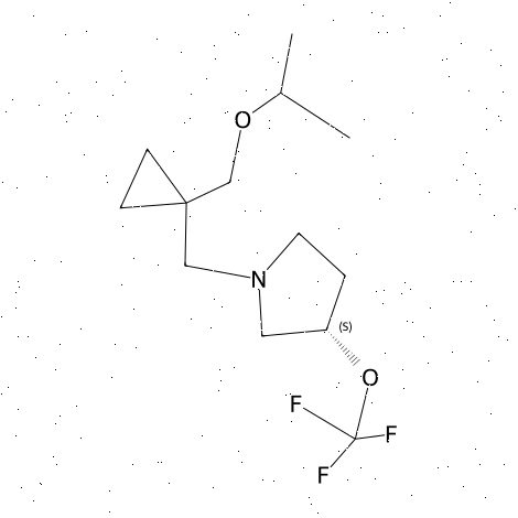 CC(C)OCC1(CN2CC[C@H](OC(F)(F)F)C2)CC1